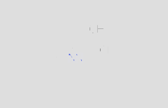 CCCC(CCC)C1C2CCC3CCCCC3C2=NN1CC1CCCCC1